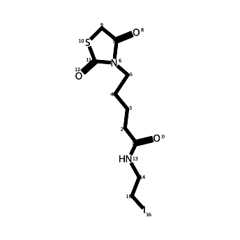 O=C(CCCCN1C(=O)CSC1=O)NCCI